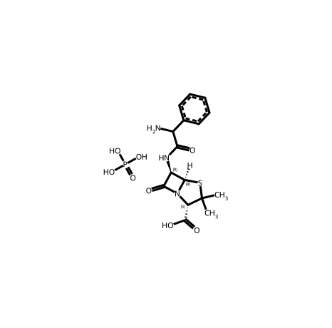 CC1(C)S[C@@H]2[C@H](NC(=O)C(N)c3ccccc3)C(=O)N2[C@H]1C(=O)O.O=P(O)(O)O